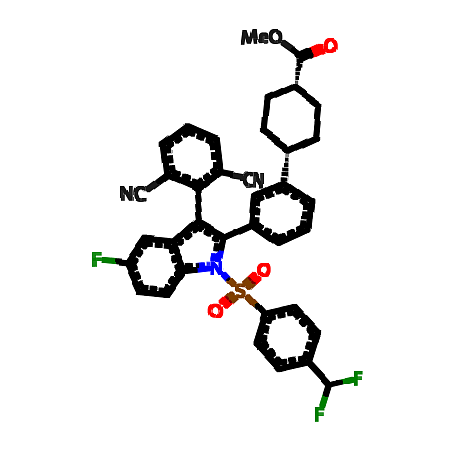 COC(=O)[C@H]1CC[C@@H](c2cccc(-c3c(-c4c(C#N)cccc4C#N)c4cc(F)ccc4n3S(=O)(=O)c3ccc(C(F)F)cc3)c2)CC1